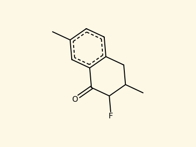 Cc1ccc2c(c1)C(=O)C(F)C(C)C2